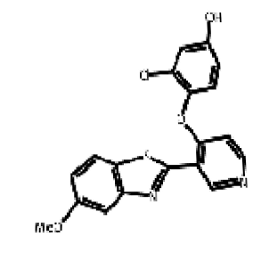 COc1ccc2sc(-c3cnccc3Oc3ccc(O)cc3Cl)nc2c1